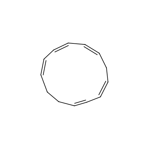 C1=CC=CCCC=CC=CCC=C1